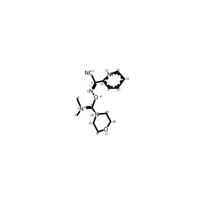 C[N+](C)=C(O/N=C(/C#N)c1ccccn1)N1CCOCC1